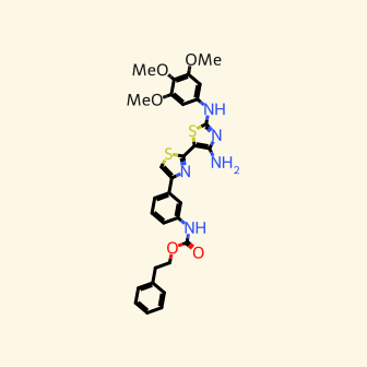 COc1cc(Nc2nc(N)c(-c3nc(-c4cccc(NC(=O)OCCc5ccccc5)c4)cs3)s2)cc(OC)c1OC